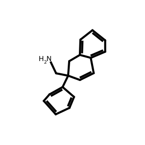 NCC1(c2ccccc2)C=Cc2ccccc2C1